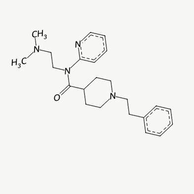 CN(C)CCN(C(=O)C1CCN(CCc2ccccc2)CC1)c1ccccn1